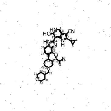 N#Cc1c(C2CC2)[nH]c2c1=CNC(O)C=2c1nc2c(OCC(F)F)c(C3CCN(CC4CCOCC4)CC3)ccc2[nH]1